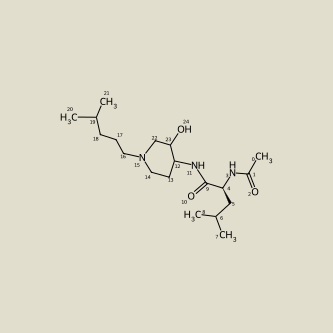 CC(=O)N[C@@H](CC(C)C)C(=O)NC1CCN(CCCC(C)C)CC1O